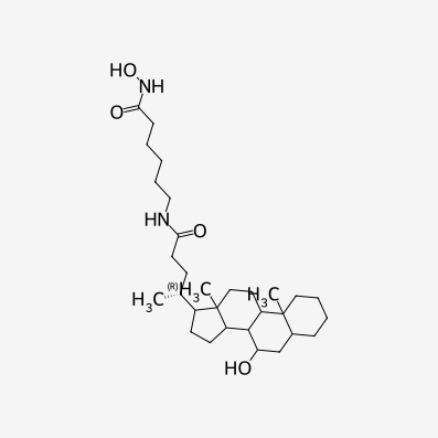 C[C@H](CCC(=O)NCCCCCC(=O)NO)C1CCC2C3C(O)CC4CCCCC4(C)C3CCC21C